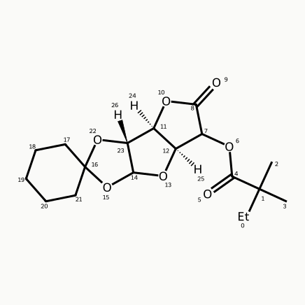 CCC(C)(C)C(=O)OC1C(=O)O[C@H]2[C@@H]1OC1OC3(CCCCC3)O[C@@H]12